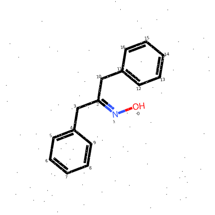 ON=C(Cc1ccccc1)Cc1ccccc1